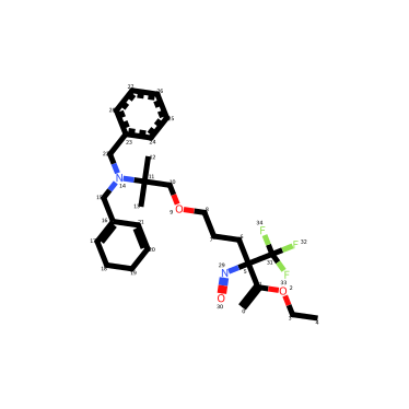 C=C(OCC)C(CCCOCC(C)(C)N(CC1=CCCC=C1)Cc1ccccc1)(N=O)C(F)(F)F